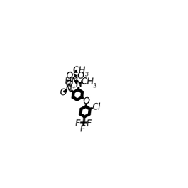 CN(NS(C)(=O)=O)c1cc(Oc2ccc(C(F)(F)F)cc2Cl)ccc1[N+](=O)[O-]